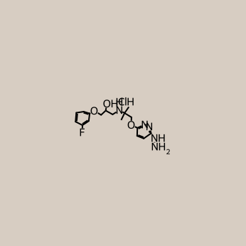 CC(C)(COc1ccc(NN)nn1)NCC(O)COc1cccc(F)c1.Cl